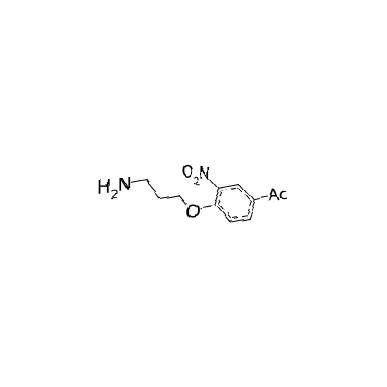 CC(=O)c1ccc(OCCCN)c([N+](=O)[O-])c1